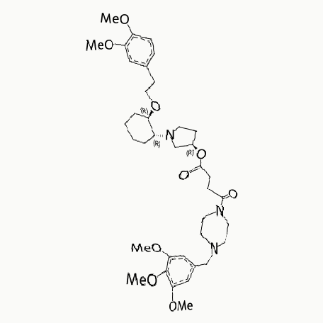 COc1ccc(CCO[C@@H]2CCCC[C@H]2N2CC[C@@H](OC(=O)CCC(=O)N3CCN(Cc4cc(OC)c(OC)c(OC)c4)CC3)C2)cc1OC